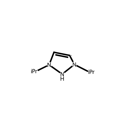 CC(C)N1[C]=CN(C(C)C)N1